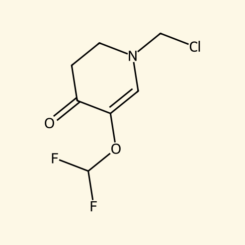 O=C1CCN(CCl)C=C1OC(F)F